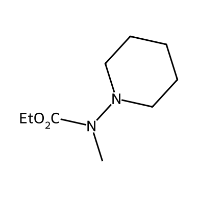 CCOC(=O)N(C)N1CCCCC1